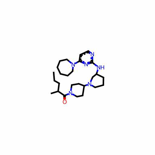 CCCC(C)C(=O)N1CCC(N2CCCC(Nc3nccc(N4CCCCCC4)n3)C2)CC1